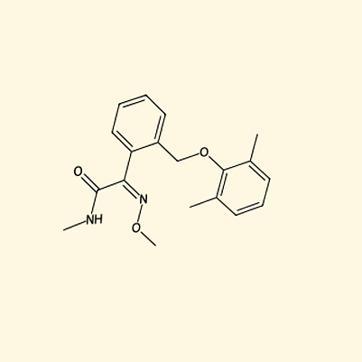 CNC(=O)C(=NOC)c1ccccc1COc1c(C)cccc1C